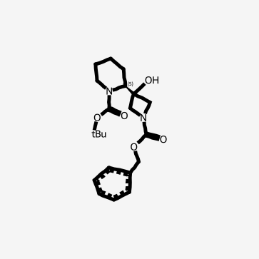 CC(C)(C)OC(=O)N1CCCC[C@H]1C1(O)CN(C(=O)OCc2ccccc2)C1